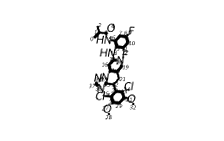 C=C(C)C(=O)Nc1cc(F)cc(F)c1Nc1cc2c(cn1)CC(c1c(Cl)c(OC)cc(OC)c1Cl)c1ncnn1-2